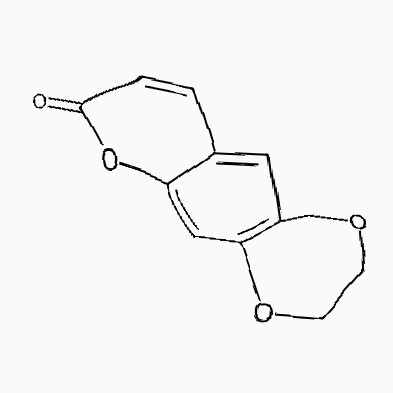 O=c1ccc2cc3c(cc2o1)OCCO3